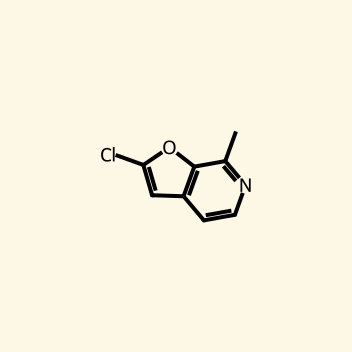 Cc1nccc2cc(Cl)oc12